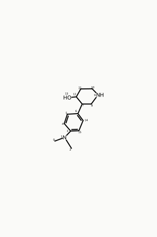 CN(C)c1ccc(C2CNC[CH]C2O)cc1